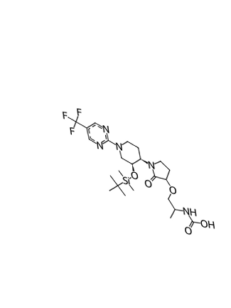 CC(COC1CCN([C@@H]2CCN(c3ncc(C(F)(F)F)cn3)C[C@@H]2O[Si](C)(C)C(C)(C)C)C1=O)NC(=O)O